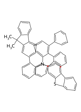 CC1(C)c2ccccc2-c2ccc(-c3ccccc3N(c3ccc4c(c3)sc3ccccc34)c3cccc(-c4ccccc4)c3-c3ccccc3-c3ccccc3)cc21